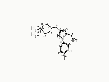 CC(C)Cc1nc(CN2CCC(C)(C)CC2)nn1-c1ccc(F)cc1